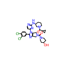 O=C(C1CC1)N1CCC[C@H](Nc2nccc(-n3c(-c4ccc(Cl)c(Cl)c4)nc4c3CN(C(=O)N3CCC(O)CC3)C4)n2)C1